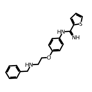 N=C(Nc1ccc(OCCNCc2ccccc2)cc1)c1cccs1